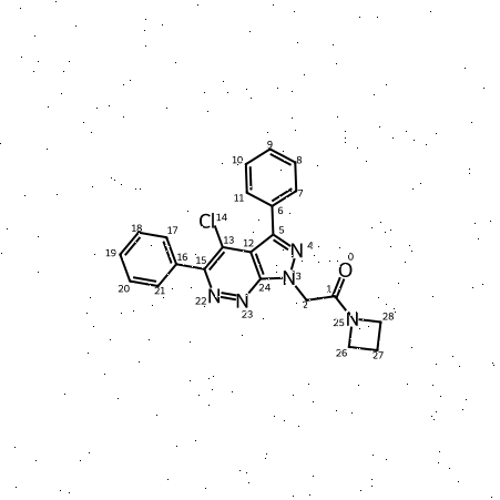 O=C(Cn1nc(-c2ccccc2)c2c(Cl)c(-c3ccccc3)nnc21)N1CCC1